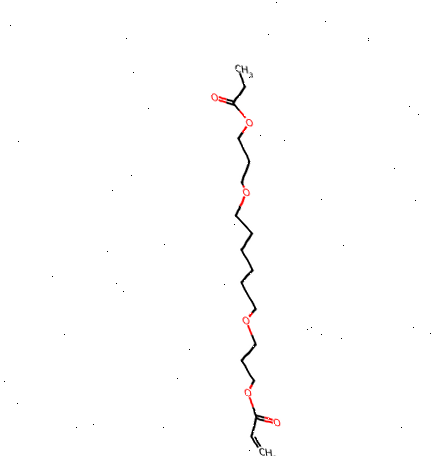 C=CC(=O)OCCCOCCCCCCOCCCOC(=O)CC